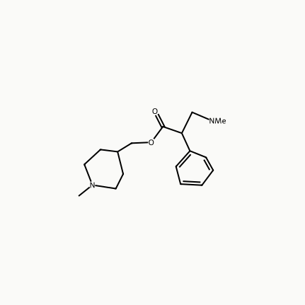 CNCC(C(=O)OCC1CCN(C)CC1)c1ccccc1